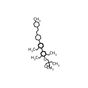 CCc1cc(C2CCC(CCC3CCC(C)CC3)CC2)ccc1-c1cc(CC)c(OCC(CC)(CC)CC)c(CC)c1